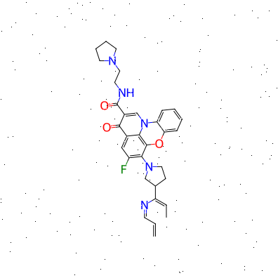 C=C/C=N\C(=C/C)C1CCN(c2c(F)cc3c(=O)c(C(=O)NCCN4CCCC4)cn4c3c2Oc2ccccc2-4)C1